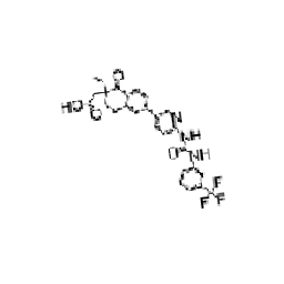 CCC1(CC(=O)O)CCc2cc(-c3ccc(NC(=O)Nc4cccc(C(F)(F)F)c4)nc3)ccc2C1=O